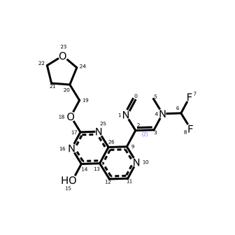 C=N/C(=C\N(C)C(F)F)c1nccc2c(O)nc(OCC3CCOC3)nc12